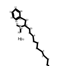 CCCCCCCCCCCC(Cc1ccccc1)P(C)C.I